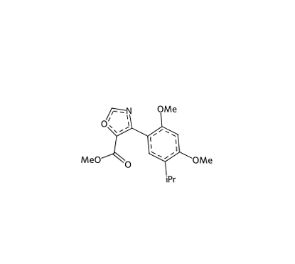 COC(=O)c1ocnc1-c1cc(C(C)C)c(OC)cc1OC